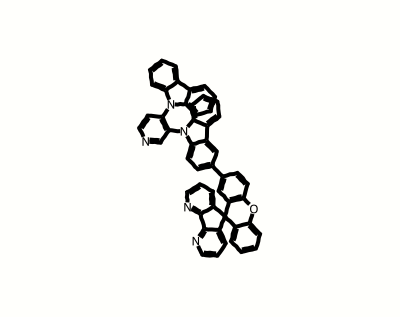 c1ccc2c(c1)Oc1ccc(-c3ccc4c(c3)c3ccccc3n4-c3cnccc3-n3c4ccccc4c4ccccc43)cc1C21c2cccnc2-c2ncccc21